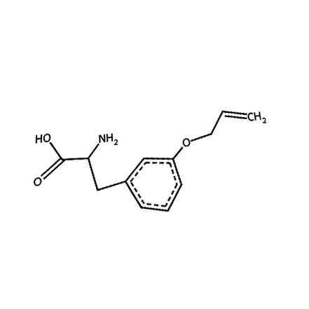 C=CCOc1cccc(CC(N)C(=O)O)c1